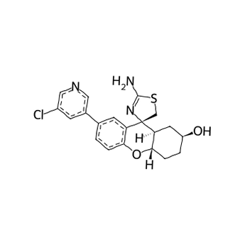 NC1=N[C@@]2(CS1)c1cc(-c3cncc(Cl)c3)ccc1O[C@H]1CC[C@H](O)C[C@@H]12